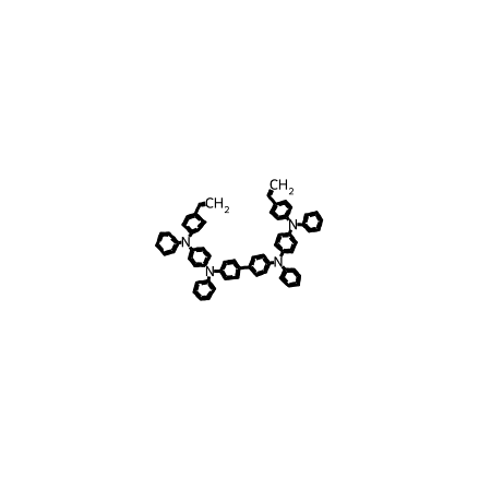 C=Cc1ccc(N(c2ccccc2)c2ccc(N(c3ccccc3)c3ccc(-c4ccc(N(c5ccccc5)c5ccc(N(c6ccccc6)c6ccc(C=C)cc6)cc5)cc4)cc3)cc2)cc1